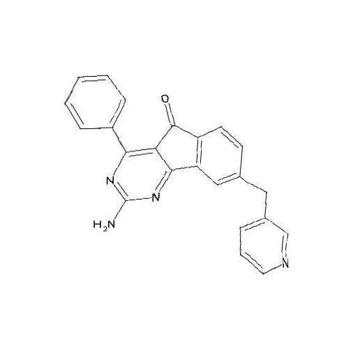 Nc1nc(-c2ccccc2)c2c(n1)-c1cc(Cc3cccnc3)ccc1C2=O